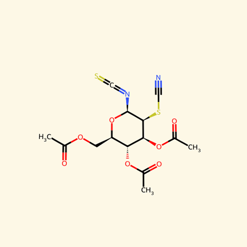 CC(=O)OC[C@H]1O[C@@H](N=C=S)[C@@H](SC#N)[C@@H](OC(C)=O)[C@@H]1OC(C)=O